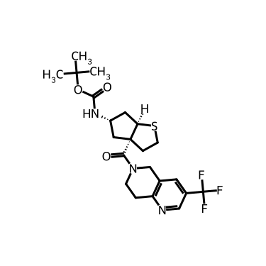 CC(C)(C)OC(=O)N[C@@H]1C[C@H]2SCC[C@@]2(C(=O)N2CCc3ncc(C(F)(F)F)cc3C2)C1